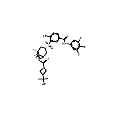 C[C@H]1CC2C[C@@H](S(=O)(=O)c3cc(C(=O)Nc4cc(F)c(F)c(F)c4)ccc3Cl)C[C@H]1[C@@]2(O)CC(=O)N1CC(C(C)(C)O)C1